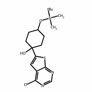 CC(C)(C)[Si](C)(C)OC1CCC(O)(c2cc3c(Cl)ncnc3s2)CC1